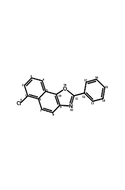 Clc1cccc2c1ccc1nc(-c3ccccc3)oc12